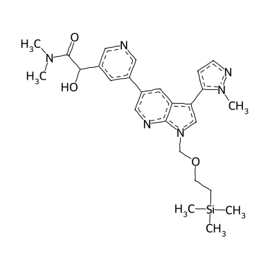 CN(C)C(=O)C(O)c1cncc(-c2cnc3c(c2)c(-c2ccnn2C)cn3COCC[Si](C)(C)C)c1